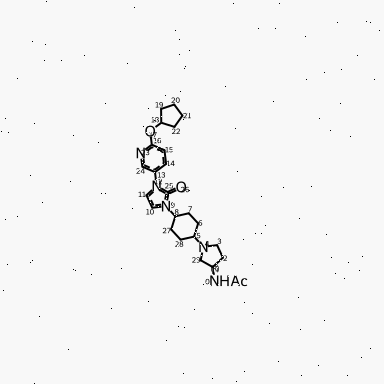 CC(=O)N[C@@H]1CCN(C2CCC(n3ccn(-c4ccc(OC5CCCC5)nc4)c3=O)CC2)C1